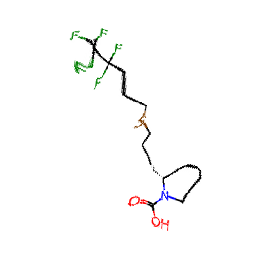 O=C(O)N1CCC[C@H]1CCSCCCC(F)(F)C(F)(F)F